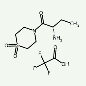 CC[C@H](N)C(=O)N1CCS(=O)(=O)CC1.O=C(O)C(F)(F)F